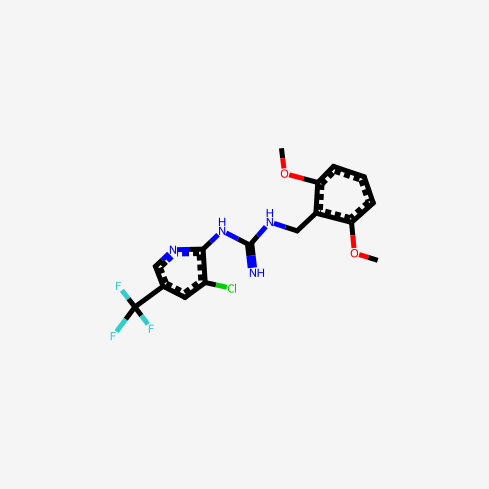 COc1cccc(OC)c1CNC(=N)Nc1ncc(C(F)(F)F)cc1Cl